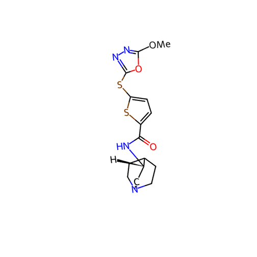 COc1nnc(Sc2ccc(C(=O)N[C@H]3CN4CCC3CC4)s2)o1